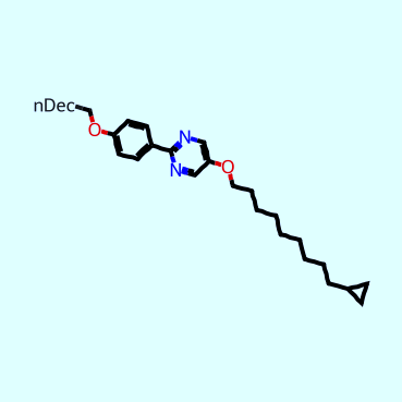 CCCCCCCCCCCOc1ccc(-c2ncc(OCCCCCCCCCC3CC3)cn2)cc1